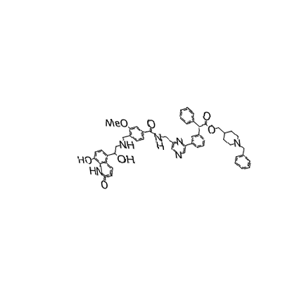 COc1cc(C(=O)NCc2cncc(-c3cccc(C(C(=O)OCC4CCN(Cc5ccccc5)CC4)c4ccccc4)c3)n2)ccc1CNCC(O)c1ccc(O)c2[nH]c(=O)ccc12